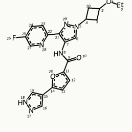 CCOC1CC(n2cc(NC(=O)c3ccc(-c4cn[nH]c4)o3)c(-c3ccc(F)cn3)n2)C1